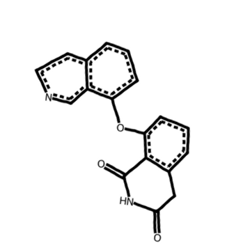 O=C1Cc2cccc(Oc3cccc4ccncc34)c2C(=O)N1